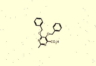 Cc1nc(OCc2ccccc2)c(OCc2ccccc2)c(C(=O)O)n1